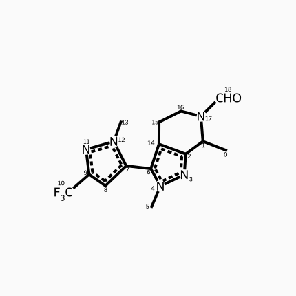 CC1c2nn(C)c(-c3cc(C(F)(F)F)nn3C)c2CCN1C=O